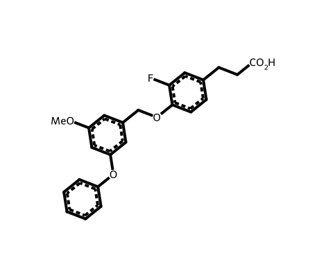 COc1cc(COc2ccc(CCC(=O)O)cc2F)cc(Oc2ccccc2)c1